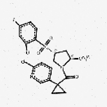 O=C(O)[C@@H]1C[C@@H](S(=O)(=O)c2ccc(F)cc2Cl)CN1C(=O)C1(c2ccc(Cl)nc2)CC1